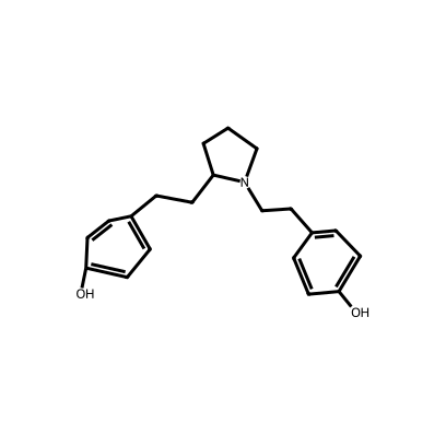 Oc1ccc(CCC2CCCN2CCc2ccc(O)cc2)cc1